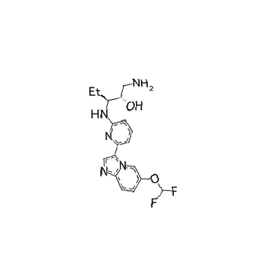 CC[C@H](Nc1cccc(-c2cnc3ccc(OC(F)F)cn23)n1)[C@@H](O)CN